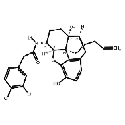 C=CCN1CC[C@]23c4c5ccc(O)c4O[C@H]2[C@H](N(CC)C(=O)Cc2ccc(Cl)c(Cl)c2)CC[C@@]3(O)[C@H]1C5